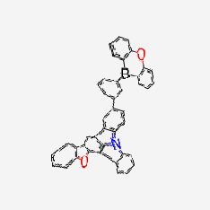 c1cc(B2c3ccccc3Oc3ccccc32)cc(-c2ccc3c(c2)c2cc4c5ccccc5oc4c4c5ccccc5n3c24)c1